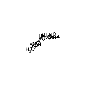 CCc1cc2ncc(CN3CCN(c4ccc(C(=O)NC5CC5)nc4)[C@@H]4C[C@@H]43)cc2[nH]c1=O